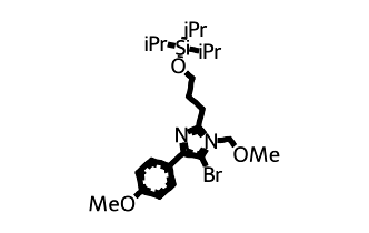 COCn1c(CCCO[Si](C(C)C)(C(C)C)C(C)C)nc(-c2ccc(OC)cc2)c1Br